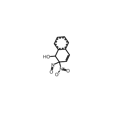 O=NC1([N+](=O)[O-])C=Cc2ccccc2C1O